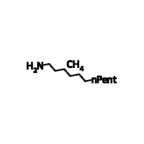 C.CCCCCCCCCCCN